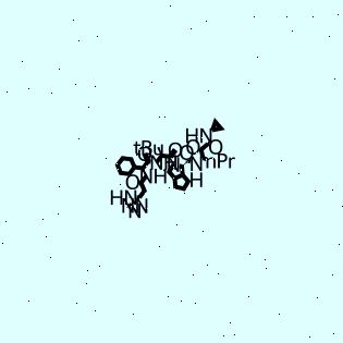 CCCC(NC(=O)[C@@H]1C2CCCC2CN1C(=O)[C@@H](NC(=O)[C@@H](NC(=O)Cc1nnn[nH]1)C1CCCCC1)C(C)(C)C)C(=O)C(=O)NC1CC1